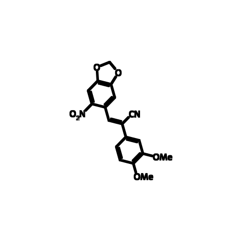 COc1ccc(/C(C#N)=C/c2cc3c(cc2[N+](=O)[O-])OCO3)cc1OC